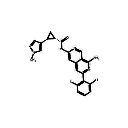 Cn1cc([C@H]2C[C@@H]2C(=O)Nc2cc3cc(-c4c(F)cccc4Cl)nc(N)c3cn2)cn1